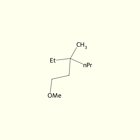 CCCC(C)(CC)CCOC